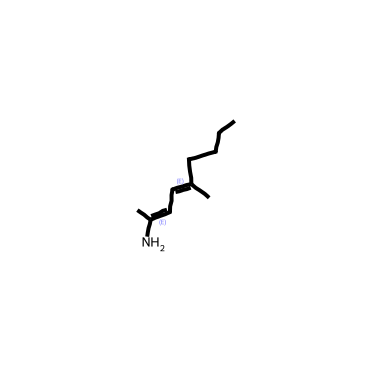 CCCC/C(C)=C/C=C(\C)N